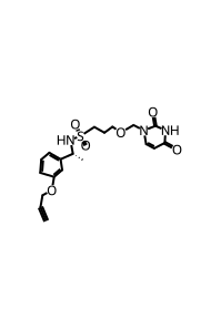 C#CCOc1cccc([C@@H](C)NS(=O)(=O)CCCOCn2ccc(=O)[nH]c2=O)c1